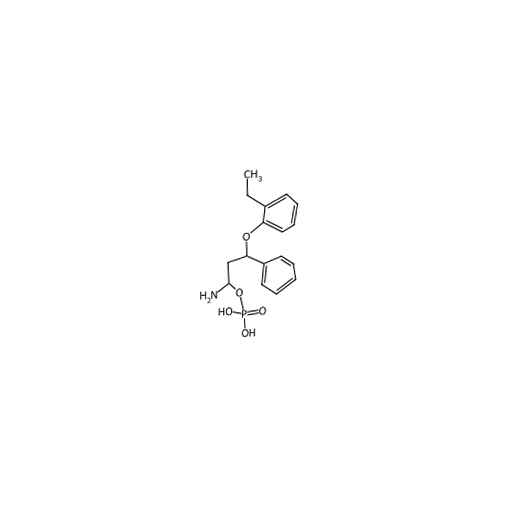 CCc1ccccc1OC(CC(N)OP(=O)(O)O)c1ccccc1